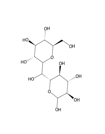 OC[C@H]1OC(C(O)[C@H]2OC(O)[C@H](O)[C@@H](O)[C@@H]2O)[C@H](O)[C@@H](O)[C@@H]1O